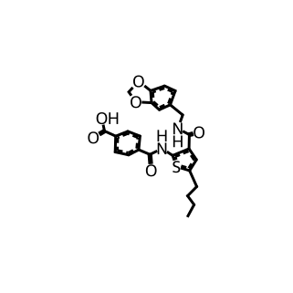 CCCCc1cc(C(=O)NCc2ccc3c(c2)OCO3)c(NC(=O)c2ccc(C(=O)O)cc2)s1